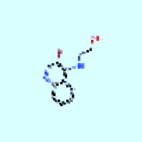 OCCNc1c(Br)cnc2ccccc12